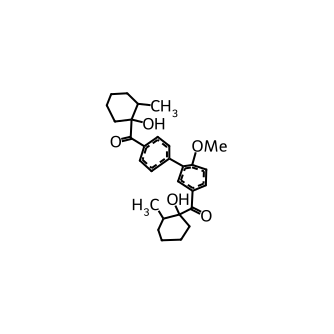 COc1ccc(C(=O)C2(O)CCCCC2C)cc1-c1ccc(C(=O)C2(O)CCCCC2C)cc1